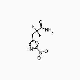 NC(=O)C(F)(F)Cc1c[nH]c([N+](=O)[O-])n1